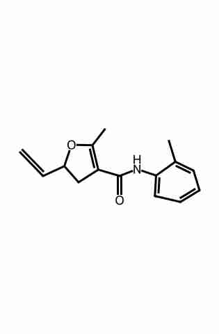 C=CC1CC(C(=O)Nc2ccccc2C)=C(C)O1